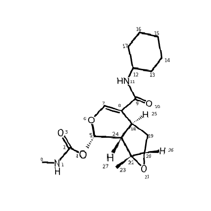 CNC(=O)O[C@@H]1OC=C(C(=O)NC2CCCCC2)[C@H]2C[C@@H]3O[C@]3(C)[C@H]12